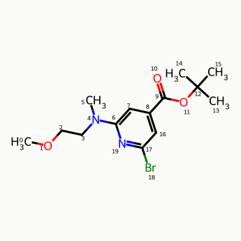 COCCN(C)c1cc(C(=O)OC(C)(C)C)cc(Br)n1